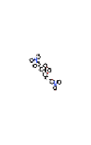 c1ccc(N(c2ccccc2)c2ccc(-c3ccc4cc5c(cc4c3)C3(c4ccccc4-c4ccccc43)c3cc(-c4ccc(N(c6ccccc6)c6ccccc6)c6ccccc46)ccc3-5)cc2)cc1